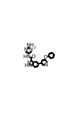 Nc1ncc(NC(=O)c2n[nH]c3ccc(-c4cncc(Oc5ccccc5)c4)cc23)cn1